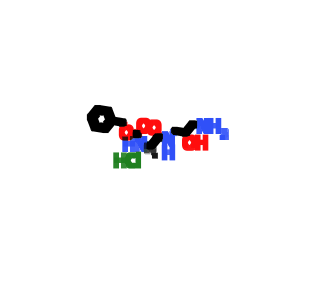 C[C@H](NC(=O)OCc1ccccc1)C(=O)NCC(O)CN.Cl